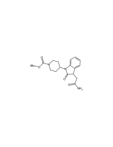 CC(C)(C)OC(=O)N1CCC(N2C(=O)C(CC(N)=O)c3ccccc32)CC1